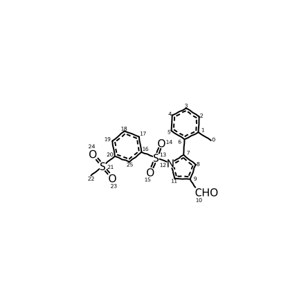 Cc1ccccc1-c1cc(C=O)cn1S(=O)(=O)c1cccc(S(C)(=O)=O)c1